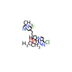 Cc1cnc2cc(CC[C@H]3C[C@@H](n4ccc5c(Cl)ncnc54)[C@@H]4OC(C)(C)O[C@H]34)c(F)cn12